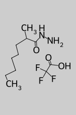 CCCCCCC(C)C(=O)NN.O=C(O)C(F)(F)F